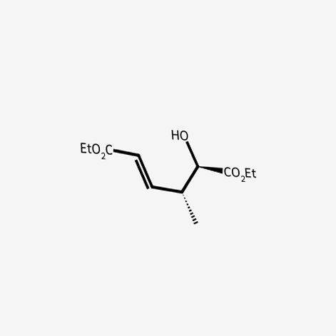 CCOC(=O)/C=C/[C@@H](C)[C@@H](O)C(=O)OCC